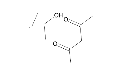 CC(=O)CC(C)=O.CCO.[CH2]C